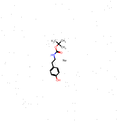 CC(C)(C)OC(=O)NCCc1ccc(O)cc1.[Na]